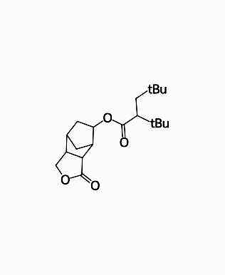 CC(C)(C)CC(C(=O)OC1CC2CC1C1C(=O)OCC21)C(C)(C)C